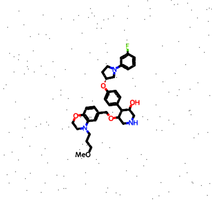 COCCCN1CCOc2ccc(COC3CNCC(O)C3c3ccc(O[C@@H]4CCN(c5cccc(F)c5)C4)cc3)cc21